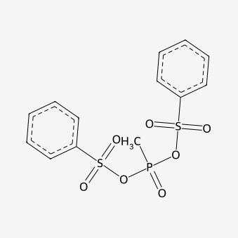 CP(=O)(OS(=O)(=O)c1ccccc1)OS(=O)(=O)c1ccccc1